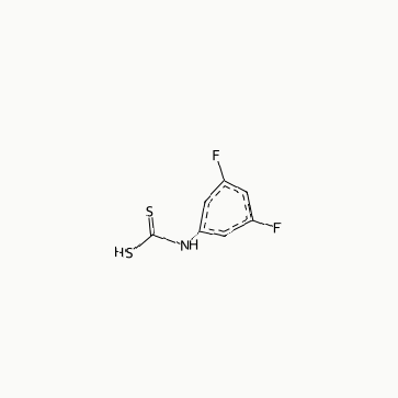 Fc1cc(F)cc(NC(=S)S)c1